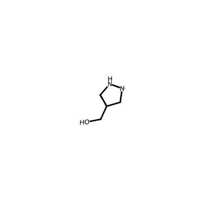 OCC1C[N]NC1